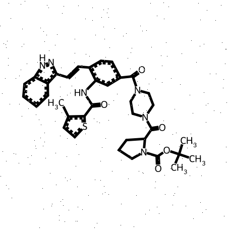 Cc1ccsc1C(=O)Nc1cc(C(=O)N2CCN(C(=O)C3CCCN3C(=O)OC(C)(C)C)CC2)ccc1C=Cc1n[nH]c2ccccc12